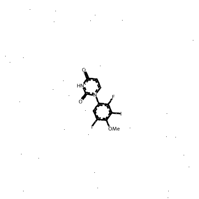 COc1c(I)cc(-n2ccc(=O)[nH]c2=O)c(F)c1I